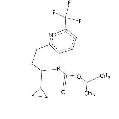 CC(C)OC(=O)N1c2ccc(C(F)(F)F)nc2CCC1C1CC1